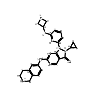 O=c1c2cnc(Nc3ccc4c(c3)CCNC4)nc2n(-c2cccc(OC3COC3)n2)n1C1CC1